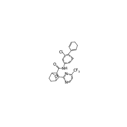 O=C(Nc1ccc(C2=CCCC=C2)c(Cl)c1)C1=C(c2nccc(C(F)(F)F)n2)C2CCC1O2